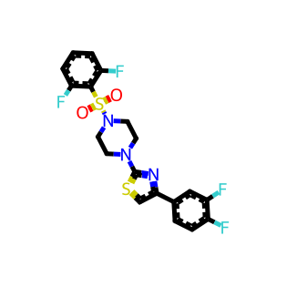 O=S(=O)(c1c(F)cccc1F)N1CCN(c2nc(-c3ccc(F)c(F)c3)cs2)CC1